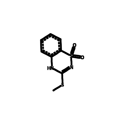 CSC1=NS(=O)(=O)c2ccccc2N1